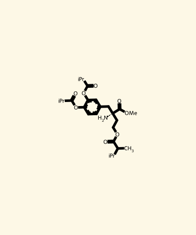 COC(=O)[C@@](N)(CCOC(=O)C(C)C(C)C)Cc1ccc(OC(=O)C(C)C)c(OC(=O)C(C)C)c1